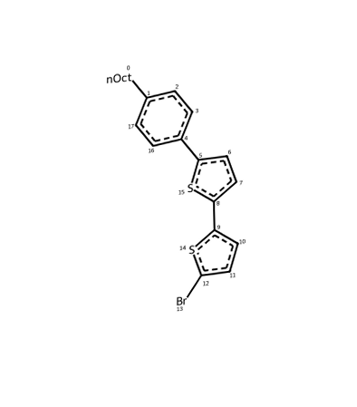 CCCCCCCCc1ccc(-c2ccc(-c3ccc(Br)s3)s2)cc1